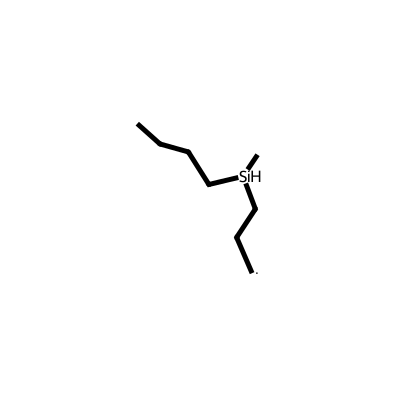 [CH2]CC[SiH](C)CCCC